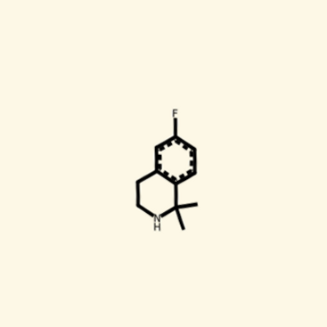 CC1(C)NCCc2cc(F)ccc21